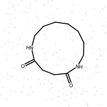 O=C1CCC(=O)NCCCCCCCN1